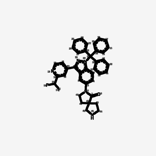 O=C1N(c2ccc3c(c2)c(-c2ccnc(C(F)F)c2)nn3C(c2ccccc2)(c2ccccc2)c2ccccc2)CCC12CCNC2